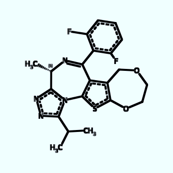 CC(C)c1nnc2n1-c1sc3c(c1C(c1c(F)cccc1F)=N[C@H]2C)COCCO3